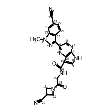 Cn1nc(-c2cnc3[nH]cc(C(=O)NCC(=O)N4CC(C#N)C4)c3n2)c2ccc(C#N)cc21